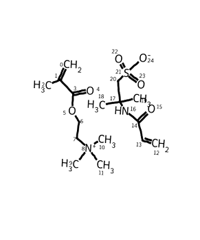 C=C(C)C(=O)OCC[N+](C)(C)C.C=CC(=O)NC(C)(C)CS(=O)(=O)[O-]